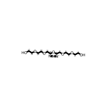 OCCOCCOCCOCCOCCOCCO.[N-]=[N+]=[N-]